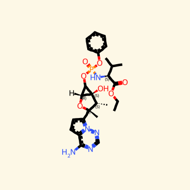 CCOC(=O)[C@@H](NP(=O)(Oc1ccccc1)OC1[C@H]2O[C@@](C)(c3ccc4c(N)ncnn34)[C@@H](C)[C@@]12O)C(C)C